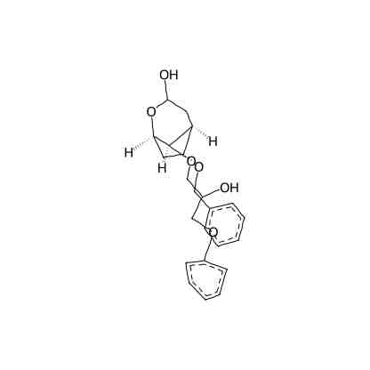 OC(COc1ccccc1)CO[C@@H]1[C@H]2CC(O)O[C@@H]1C[C@H]2OCc1ccccc1